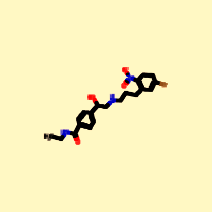 CCNC(=O)c1ccc(C(O)CNCCCc2cc(Br)ccc2[N+](=O)[O-])cc1